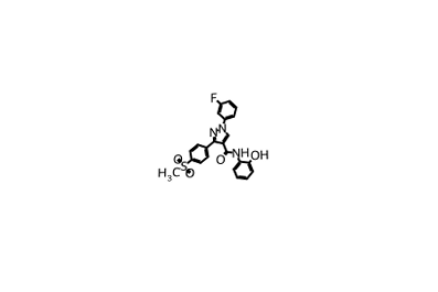 CS(=O)(=O)c1ccc(-c2nn(-c3cccc(F)c3)cc2C(=O)Nc2ccccc2O)cc1